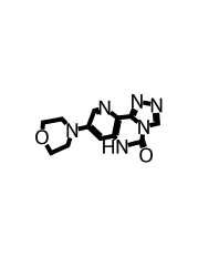 O=c1[nH]c2cc(N3CCOCC3)cnc2c2nncn12